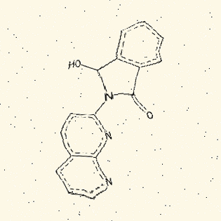 O=C1c2ccccc2C(O)N1c1ccc2cccnc2n1